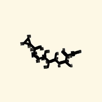 C=BC(=C)/C(C)=C\C(C)=C(/C)N(C)/C=N\C(=C)C1CC1